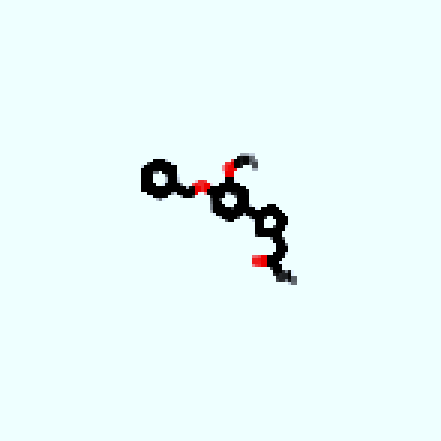 COc1cc(C2CCC(CC(C)=O)C2)ccc1OCc1ccccc1